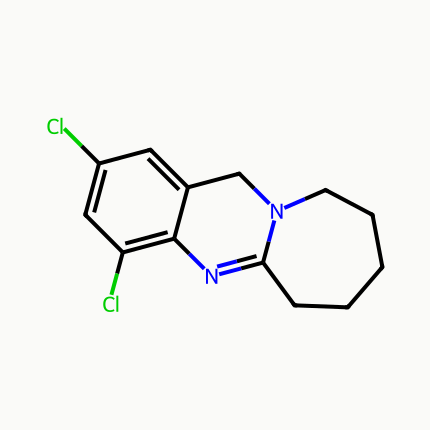 Clc1cc(Cl)c2c(c1)CN1CCCCCC1=N2